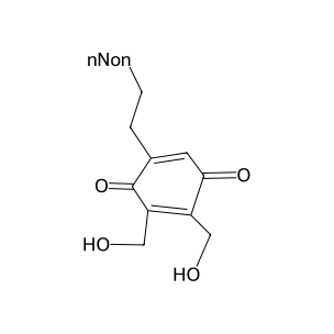 CCCCCCCCCCCC1=CC(=O)C(CO)=C(CO)C1=O